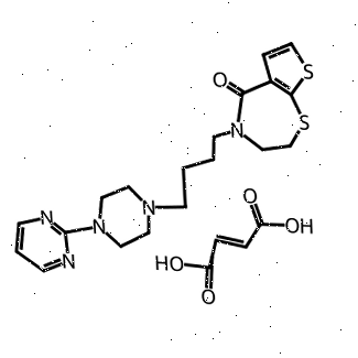 O=C(O)/C=C/C(=O)O.O=C1c2ccsc2SCCN1CCCCN1CCN(c2ncccn2)CC1